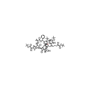 CC(C)(C)OC(=O)N=C(NC(=O)OC(C)(C)C)N(CCCNC(=O)OC(C)(C)C)Cc1cnn(C[C@@H]2[C@H](NC(=O)C(=NOC3(C(=O)OC(c4ccccc4)c4ccccc4)CC3)c3csc(NC(=O)OC(C)(C)C)n3)C(=O)N2S(=O)(=O)O)n1